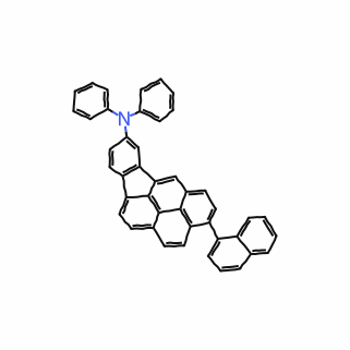 c1ccc(N(c2ccccc2)c2ccc3c(c2)-c2cc4ccc(-c5cccc6ccccc56)c5ccc6ccc-3c2c6c45)cc1